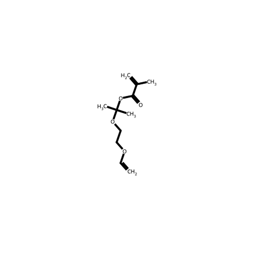 C=COCCOC(C)(C)OC(=O)C(=C)C